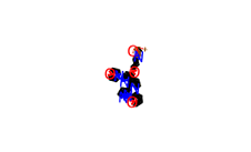 C[S+]([O-])N=CCCOc1cc(N2CCOCC2)nc2c(-c3ccnn3C3CCCCO3)nccc12